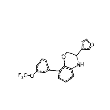 FC(F)(F)Oc1cccc(-c2cccc3c2OCC(c2ccoc2)N3)c1